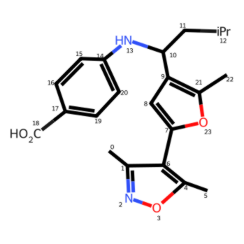 Cc1noc(C)c1-c1cc(C(CC(C)C)Nc2ccc(C(=O)O)cc2)c(C)o1